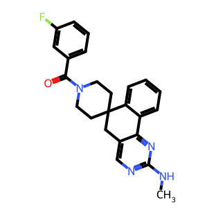 CNc1ncc2c(n1)-c1ccccc1C1(CCN(C(=O)c3cccc(F)c3)CC1)C2